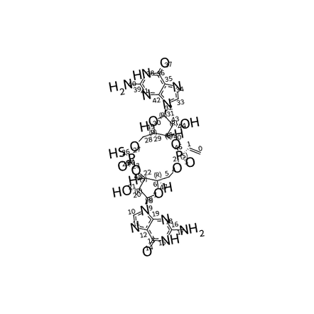 C=C[P@]1(=O)OC[C@H]2O[C@@H](n3cnc4c(=O)[nH]c(N)nc43)[C@H](O)[C@@H]2O[P@](=O)(S)OC[C@H]2O[C@@H](n3cnc4c(=O)[nH]c(N)nc43)[C@H](O)[C@@H]2O1